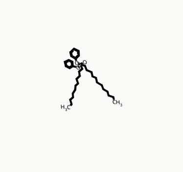 CCCCCCCCCCC[CH2][Ti](=[O])([CH2]CCCCCCCCCCC)([O]c1ccccc1)[O]c1ccccc1